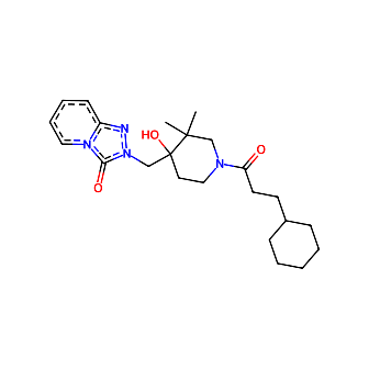 CC1(C)CN(C(=O)CCC2CCCCC2)CCC1(O)Cn1nc2ccccn2c1=O